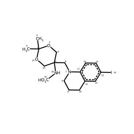 CC1(C)OCC(CN2CCCc3cc(I)ccc32)(NC(=O)O)CO1